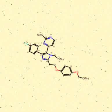 COCOc1ccc(OCCc2nc(-c3ccc(F)cc3)c(-c3ccnc(SC)n3)n2COC)cc1